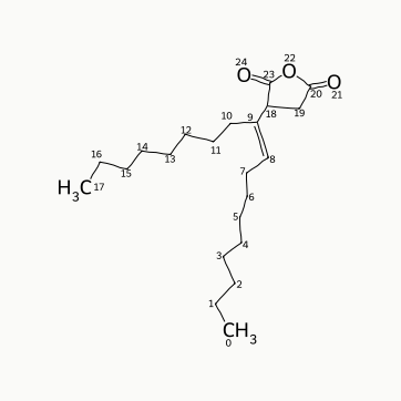 CCCCCCCCC=C(CCCCCCCC)C1CC(=O)OC1=O